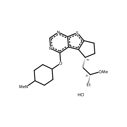 CC[C@H](C[C@H]1CCc2sc3ncnc(OC4CCC(NC)CC4)c3c21)OC.Cl